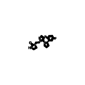 O=C1NCCN1CCn1nccc1N1CCC[C@@H]1c1cc(F)ccc1F